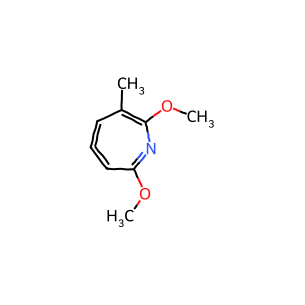 COC1=NC(OC)=C(C)C=C=C1